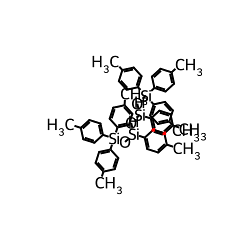 Cc1ccc([SiH](O[SiH](O[Si](c2ccc(C)cc2)(c2ccc(C)cc2)c2ccc(C)cc2)c2ccc(C)cc2)O[Si](c2ccc(C)cc2)(c2ccc(C)cc2)c2ccc(C)cc2)cc1